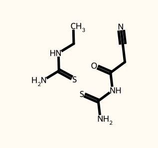 CCNC(N)=S.N#CCC(=O)NC(N)=S